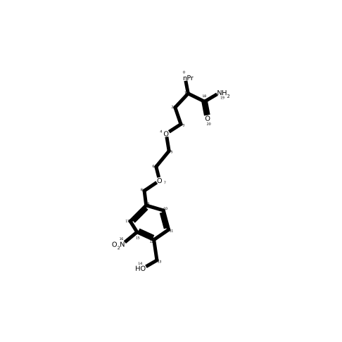 CCCC(CCOCCOCc1ccc(CO)c([N+](=O)[O-])c1)C(N)=O